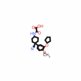 COc1ccc(C2(C#N)CCC(NC(=O)C(=O)O)CC2)cc1OC1CCCC1